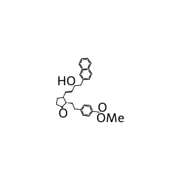 COC(=O)c1ccc(CC[C@H]2C(=O)CC[C@H]2C=CC(O)Cc2ccc3ccccc3c2)cc1